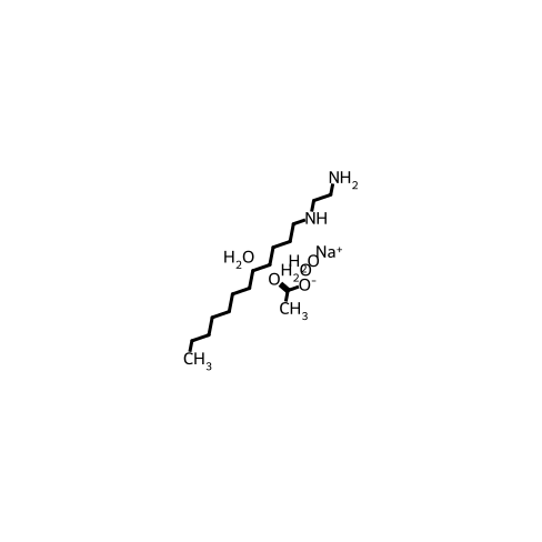 CC(=O)[O-].CCCCCCCCCCCCNCCN.O.O.O.[Na+]